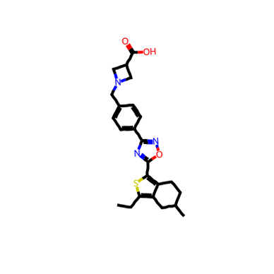 CCc1sc(-c2nc(-c3ccc(CN4CC(C(=O)O)C4)cc3)no2)c2c1CC(C)CC2